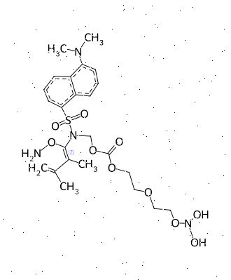 C=C(C)/C(C)=C(\ON)N(COC(=O)OCCOCCON(O)O)S(=O)(=O)c1cccc2c(N(C)C)cccc12